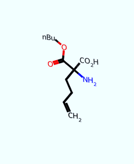 C=CCCC(N)(C(=O)O)C(=O)OCCCC